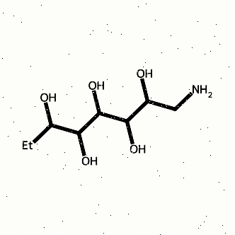 CCC(O)C(O)C(O)C(O)C(O)CN